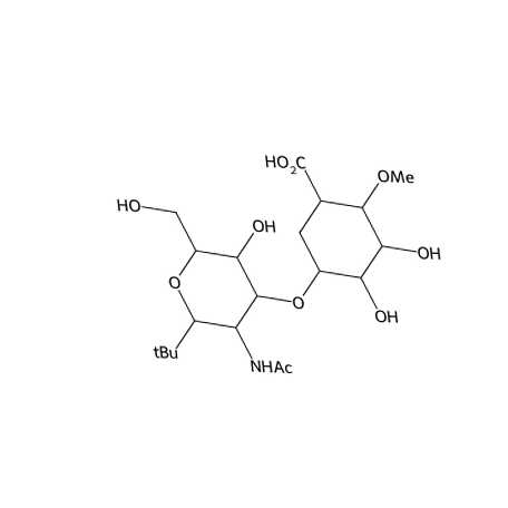 COC1C(C(=O)O)CC(OC2C(O)C(CO)OC(C(C)(C)C)C2NC(C)=O)C(O)C1O